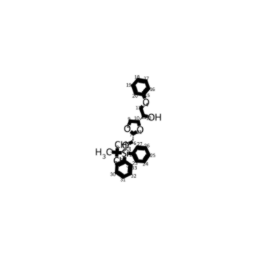 CC(C)(C)[Si](OC[C@@H]1OC[C@H](C(O)COc2ccccc2)O1)(c1ccccc1)c1ccccc1